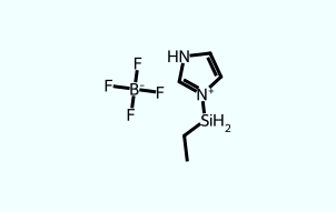 CC[SiH2][n+]1cc[nH]c1.F[B-](F)(F)F